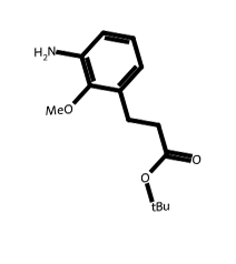 COc1c(N)cccc1CCC(=O)OC(C)(C)C